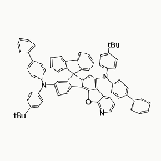 CC(C)(C)c1ccc(N(c2ccc(-c3ccccc3)cc2)c2ccc3c(c2)C2(c4ccccc4-c4ccccc42)c2cc(N(c4ccc(-c5ccccc5)cc4)c4ccc(C(C)(C)C)cc4)c4c(oc5ncccc54)c2-3)cc1